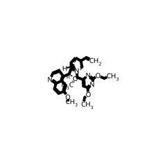 C=CC1C[N+]2(Cc3cc(OCC)nc(OCC)n3)CCC1C[C@H]2[C@H](OC)c1ccnc2ccc(OC)cc12